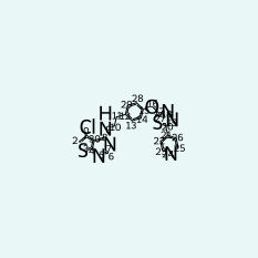 Clc1csc2ncnc(NCCc3ccc(Oc4nnc(-c5ccncc5)s4)cc3)c12